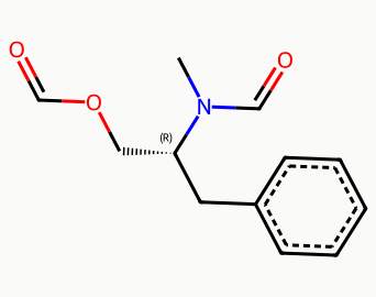 CN(C=O)[C@@H](COC=O)Cc1ccccc1